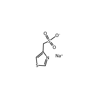 O=S(=O)([O-])Cc1cscn1.[Na+]